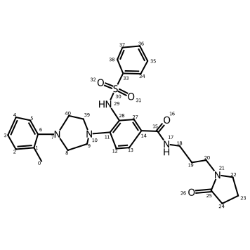 Cc1ccccc1N1CCN(c2ccc(C(=O)NCCCN3CCCC3=O)cc2NS(=O)(=O)c2ccccc2)CC1